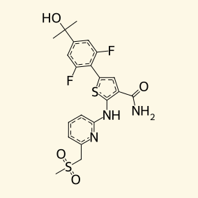 CC(C)(O)c1cc(F)c(-c2cc(C(N)=O)c(Nc3cccc(CS(C)(=O)=O)n3)s2)c(F)c1